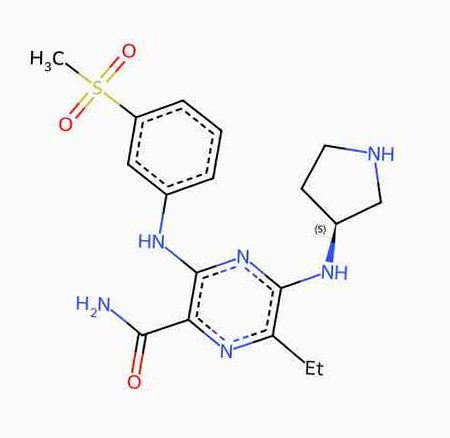 CCc1nc(C(N)=O)c(Nc2cccc(S(C)(=O)=O)c2)nc1N[C@H]1CCNC1